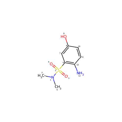 CN(C)S(=O)(=O)c1cc(O)ccc1N